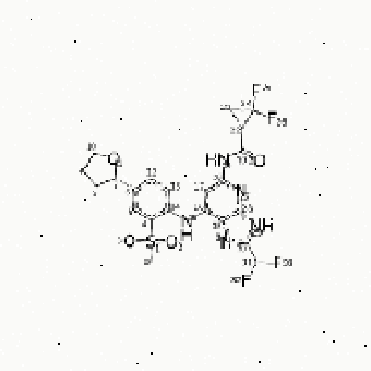 CS(=O)(=O)c1cc([C@@H]2CCCO2)ccc1Nc1cc(NC(=O)[C@H]2CC2(F)F)nc2[nH]c(C(F)F)nc12